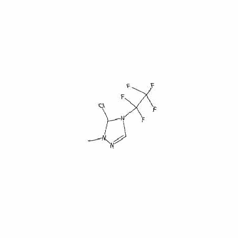 CN1N=CN(C(F)(F)C(F)(F)F)C1Cl